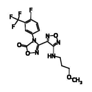 COCCCNc1nonc1-c1noc(=O)n1-c1ccc(F)c(C(F)(F)F)c1